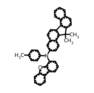 Cc1ccc(N(c2ccc3c4c(ccc3c2)-c2c(ccc3ccccc23)C4(C)C)c2cccc3c2oc2ccccc23)cc1